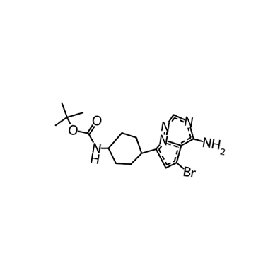 CC(C)(C)OC(=O)NC1CCC(c2cc(Br)c3c(N)ncnn23)CC1